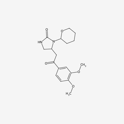 COc1ccc(C(=O)CC2CNC(=O)N2C2CCCCO2)cc1OC